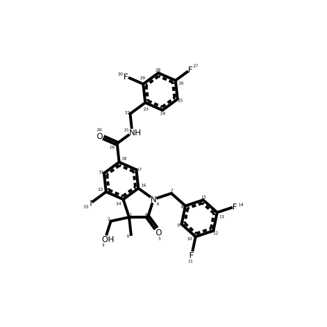 CC1(CO)C(=O)N(Cc2cc(F)cc(F)c2)c2cc(C(=O)NCc3ccc(F)cc3F)cc(I)c21